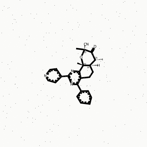 C[C@H]1C(=O)[C@@](C)(C#N)O[C@@]2(C)c3nc(-c4ccncc4)nc(-c4ccccc4)c3CC[C@H]12